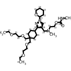 CCOCCOCC1(COCCOCC)CCC(c2nn(C3CCCCO3)cc2CN(C)CCOC(=O)NC)CC1